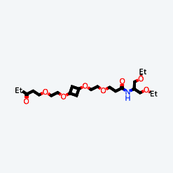 CCOCC(COCC)NC(=O)CCOCCOC1CC(OCCOCCC(=O)CC)C1